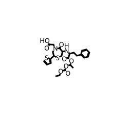 CCOC(=O)OC(C)OC(=O)C(CCc1ccccc1)NC1CSC(c2cccs2)CN(CC(=O)O)C1=O